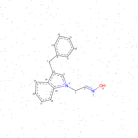 O/N=C/Cn1cc(Cc2ccccc2)c2ccccc21